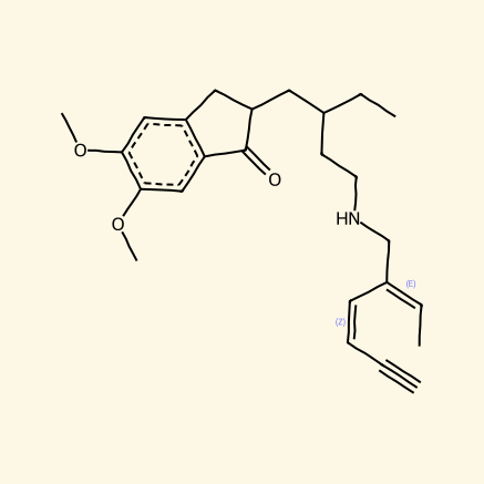 C#C/C=C\C(=C/C)CNCCC(CC)CC1Cc2cc(OC)c(OC)cc2C1=O